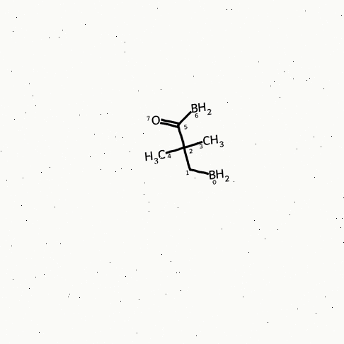 BCC(C)(C)C(B)=O